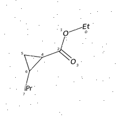 CCOC(=O)C1CC1C(C)C